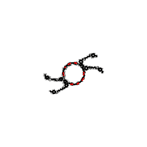 C=Cc1ccc(OCCCCOCc2ccc(-n3c4ccc(cc4)c4ccc(cc4)c4ccc(cc4)c4ccc(cc4)n(-c4ccc(COCCCCOc5ccc(C=C)cc5)cc4)c4cccc(c4)n(-c4ccc(COCCCCOc5ccc(C=C)cc5)cc4)c4ccc(cc4)c4ccc(cc4)c4ccc(cc4)c4ccc(cc4)n(-c4ccc(COCCCCOc5ccc(C=C)cc5)cc4)c4cccc3c4)cc2)cc1